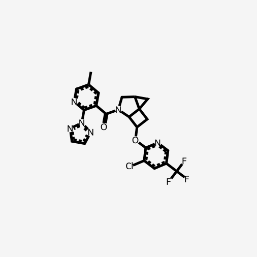 Cc1cnc(-n2nccn2)c(C(=O)N2CC3CC34CC(Oc3ncc(C(F)(F)F)cc3Cl)C24)c1